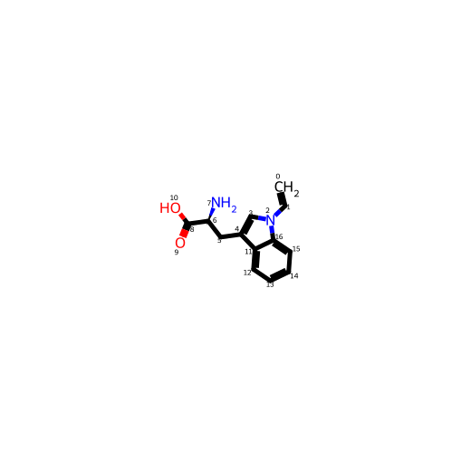 C=Cn1cc(C[C@H](N)C(=O)O)c2ccccc21